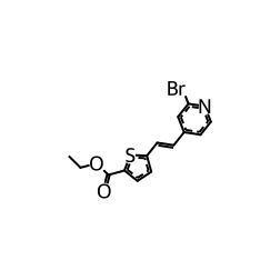 CCOC(=O)c1ccc(/C=C/c2ccnc(Br)c2)s1